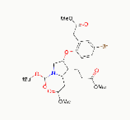 COC(=O)CC[C@H]1C(Oc2ccc(Br)cc2CC(=O)OC)CN(C(=O)OC(C)(C)C)C1CC(=O)OC